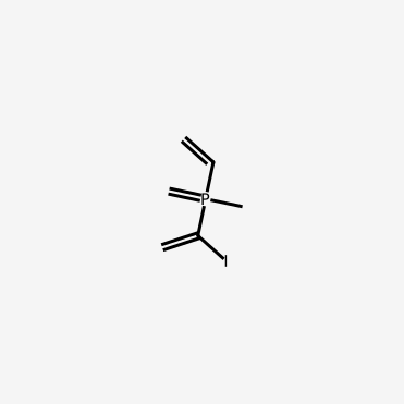 C=CP(=C)(C)C(=C)I